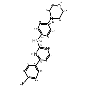 Fc1ccc(-c2ccnc(Nc3ccc(N4CCOCC4)cc3)n2)cc1